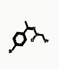 C/C(=N/[S+]([O-])CC(C)C)c1ccc(Br)cc1